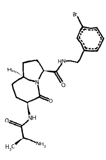 C[C@H](N)C(=O)N[C@H]1CC[C@H]2CC[C@@H](C(=O)NCc3cccc(Br)c3)N2C1=O